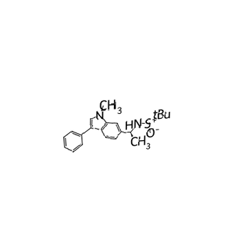 C[C@H](N[S@@+]([O-])C(C)(C)C)c1ccc2c(-c3ccccc3)cn(C)c2c1